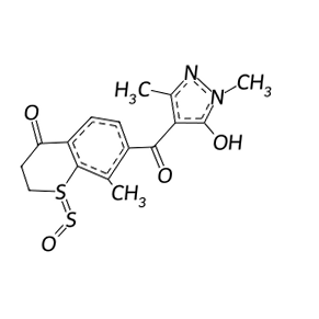 Cc1nn(C)c(O)c1C(=O)c1ccc2c(c1C)S(=S=O)CCC2=O